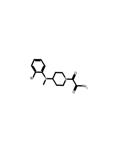 CN(c1ccccc1Br)C1CCN(C(=O)C(N)=O)CC1